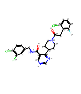 O=C(NCc1ccc(Cl)c(Cl)c1)c1cncnc1C1CCN(C(=O)Cc2c(F)cccc2Cl)CC1